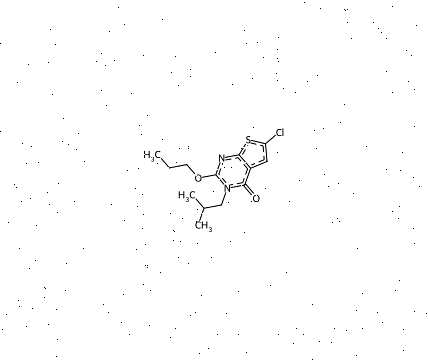 CCCOc1nc2sc(Cl)cc2c(=O)n1CC(C)C